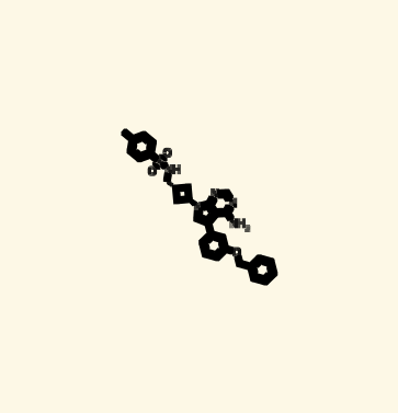 Cc1ccc(S(=O)(=O)NC[C@H]2C[C@H](n3cc(-c4cccc(OCc5ccccc5)c4)c4c(N)ncnc43)C2)cc1